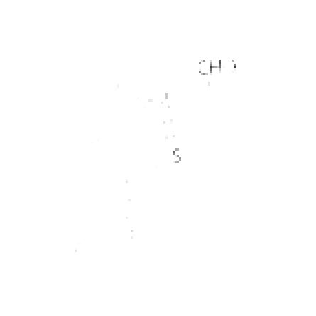 O=Cc1ccc(CF)s1